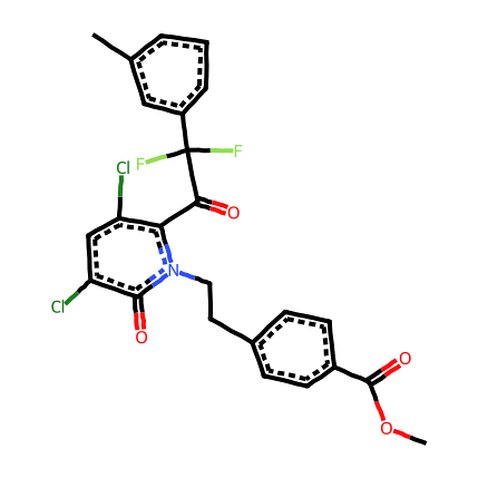 COC(=O)c1ccc(CCn2c(C(=O)C(F)(F)c3cccc(C)c3)c(Cl)cc(Cl)c2=O)cc1